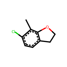 Cc1c(Cl)ccc2c1OCC2